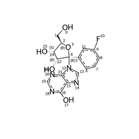 OC[C@H]1O[C@@](c2cccc(F)c2)(n2cnc3c(O)ncnc32)[C@H](O)[C@@H]1O